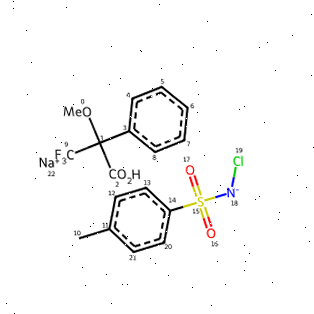 COC(C(=O)O)(c1ccccc1)C(F)(F)F.Cc1ccc(S(=O)(=O)[N-]Cl)cc1.[Na+]